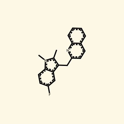 Cc1c(Cc2ccc3ccccc3n2)c2cc(F)ccc2n1C